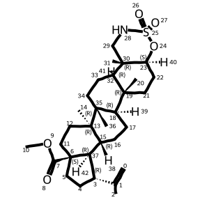 C=C(C)[C@@H]1CC[C@]2(C(=O)OC)CC[C@]3(C)[C@H](CC[C@@H]4[C@@]5(C)CC[C@@H]6OS(=O)(=O)NC[C@@]6(C)[C@@H]5CC[C@]43C)[C@@H]12